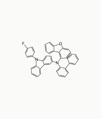 Fc1ccc(-n2c3ccccc3c3cc(N(c4ccccc4-c4ccccc4)c4cccc5oc6ccccc6c45)ccc32)cc1